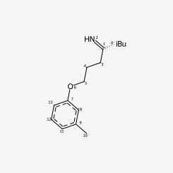 CC[C@@H](C)C(=N)CCCOc1[c]c(C)ccc1